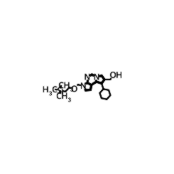 C[Si](C)(C)CCOCn1ccc2c1ncn1cc(CO)c(C3CCCCC3)c21